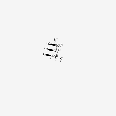 O=S(=O)([O-])O.O=S(=O)([O-])O.O=S(=O)([O-])O.[K+].[K+].[K+]